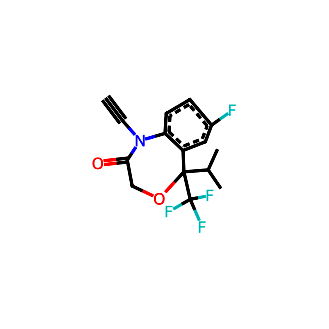 C#CN1C(=O)COC(C(C)C)(C(F)(F)F)c2cc(F)ccc21